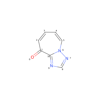 O=c1ccccn2ncnc12